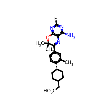 CCc1nc(N)c2c(n1)OC(C)(C)C(c1ccc([C@H]3CC[C@H](CC(=O)O)CC3)c(C)c1)=N2